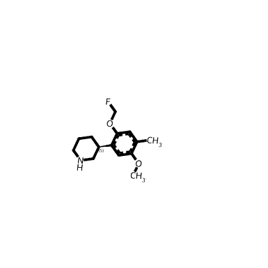 COc1cc([C@@H]2CCCNC2)c(OCF)cc1C